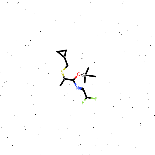 CC(SCC1CC1)C(N=CC(F)F)O[Si](C)(C)C